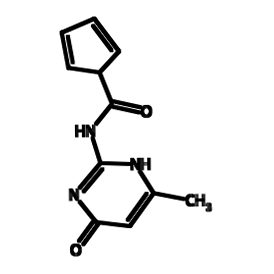 Cc1cc(=O)nc(NC(=O)C2C=CC=C2)[nH]1